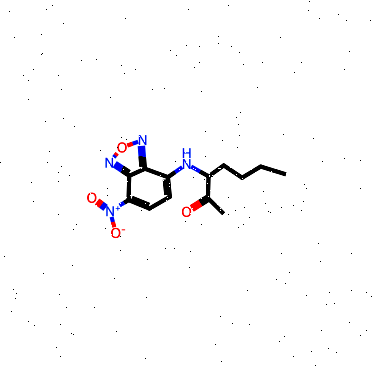 CCCCC(Nc1ccc([N+](=O)[O-])c2nonc12)C(C)=O